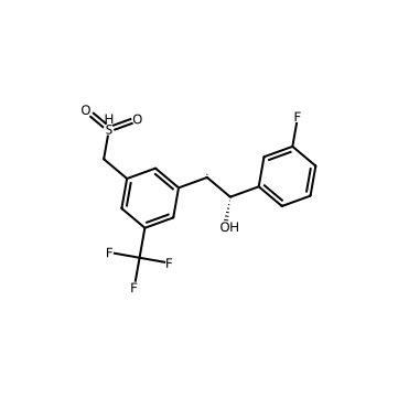 O=[SH](=O)Cc1cc([CH][C@@H](O)c2cccc(F)c2)cc(C(F)(F)F)c1